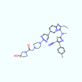 CCc1nc2ccc(-c3cnc(N4CCN(CC(=O)N5CC[C@@H](O)C5)CC4)nc3)cn2c1N(C)c1nc(-c2ccc(F)cc2)c(C#N)s1